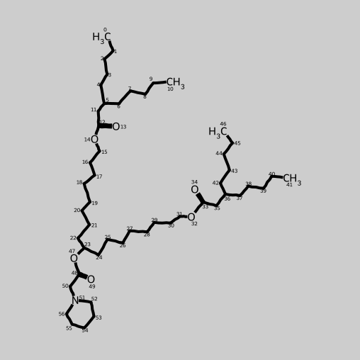 CCCCCC(CCCCC)CC(=O)OCCCCCCCCC(CCCCCCCCOC(=O)CC(CCCCC)CCCCC)OC(=O)CN1CCCCC1